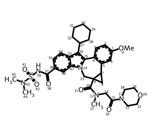 COc1ccc2c(c1)C1CC1(C(=O)N(C)CC(=O)N1CCOCC1)Cn1c-2c(C2CCCCC2)c2ccc(C(=O)NS(=O)(=O)N(C)C)cc21